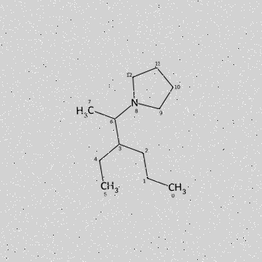 CCCC(CC)C(C)N1CCCC1